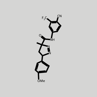 COc1ccc(C2CC(C)(C(=O)Nc3ccc(C#N)c(C(F)(F)F)c3)N=N2)cc1